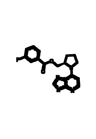 O=C(OC[C@H]1CCCN1c1ccnc2ncnn12)c1cccc(F)c1